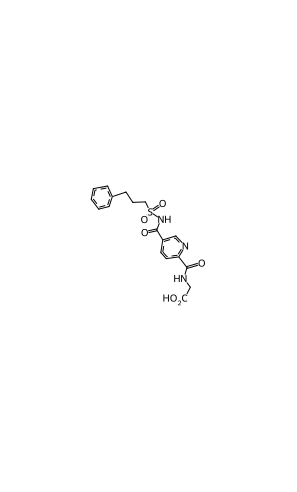 O=C(O)CNC(=O)c1ccc(C(=O)NS(=O)(=O)CCCc2ccccc2)cn1